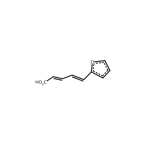 O=C(O)C=CC=Cc1ccco1